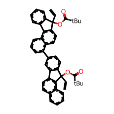 C=CC1(OC(=O)C(C)(C)C)c2ccccc2-c2c1ccc1c(-c3ccc4c(c3)-c3ccc5ccccc5c3C4(C=C)OC(=O)C(C)(C)C)cccc21